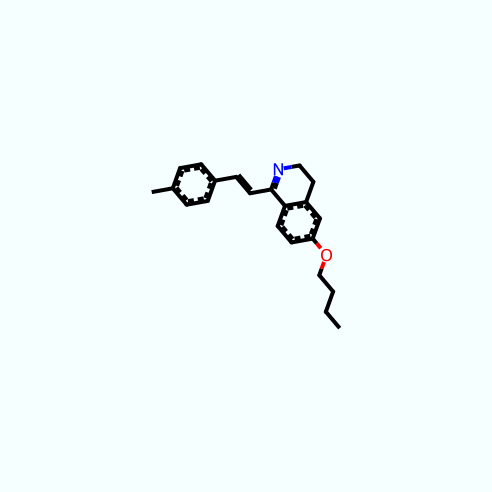 CCCCOc1ccc2c(c1)CCN=C2/C=C/c1ccc(C)cc1